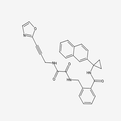 O=C(NCC#Cc1ncco1)C(=O)NCc1ccccc1C(=O)NC1(c2ccc3ccccc3c2)CC1